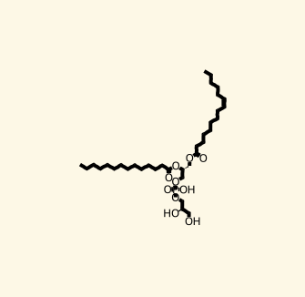 CCCCC/C=C\CCCCCCCC(=O)OC[C@H](COP(=O)(O)OC[C@@H](O)CO)OC(=O)CCCCCCCCCCCCC